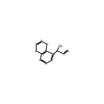 C=CC(O)c1cccc2c1CC=CC2